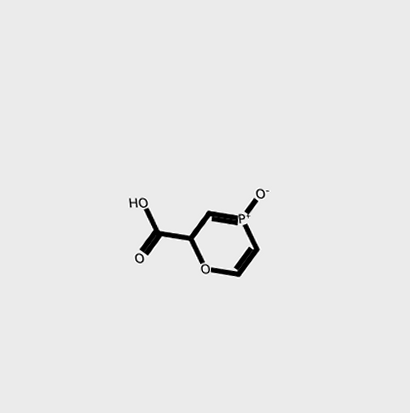 O=C(O)C1C=[P+]([O-])C=CO1